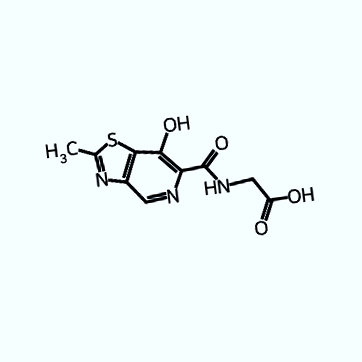 Cc1nc2cnc(C(=O)NCC(=O)O)c(O)c2s1